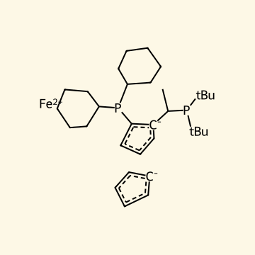 CC([c-]1cccc1P(C1CCCCC1)C1CCCCC1)P(C(C)(C)C)C(C)(C)C.[Fe+2].c1cc[cH-]c1